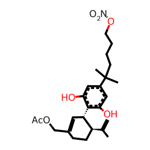 C=C(C)[C@H]1CCC(COC(C)=O)=C[C@@H]1c1c(O)cc(C(C)(C)CCCCO[N+](=O)[O-])cc1O